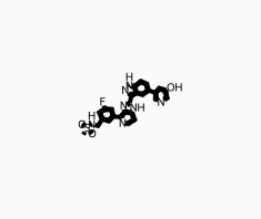 CS(=O)(=O)NCc1cc(F)cc(-c2nccc3[nH]c(-c4n[nH]c5ccc(-c6cncc(O)c6)cc45)nc23)c1